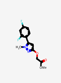 COC(=O)COc1cc(-c2ccc(F)cc2F)n(C)n1